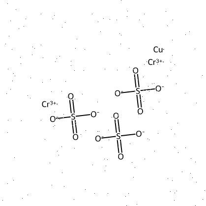 O=S(=O)([O-])[O-].O=S(=O)([O-])[O-].O=S(=O)([O-])[O-].[Cr+3].[Cr+3].[Cu]